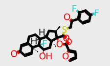 C[C@@H]1C[C@H]2[C@@H]3CCC4=CC(=O)C=C[C@]4(C)[C@@]3(F)[C@@H](O)C[C@]2(C)[C@@]1(OC(=O)c1ccco1)C(=O)SCC(=O)c1ccc(F)cc1F